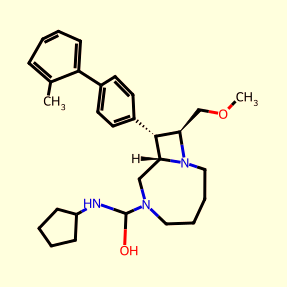 COC[C@@H]1[C@@H](c2ccc(-c3ccccc3C)cc2)[C@H]2CN(C(O)NC3CCCC3)CCCCN12